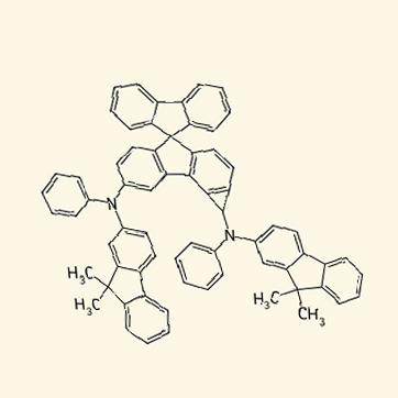 CC1(C)c2ccccc2-c2ccc(N(c3ccccc3)c3ccc4c(c3)-c3c(ccc5c3C5N(c3ccccc3)c3ccc5c(c3)C(C)(C)c3ccccc3-5)C43c4ccccc4-c4ccccc43)cc21